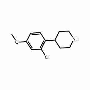 COc1ccc(C2CCNCC2)c(Cl)c1